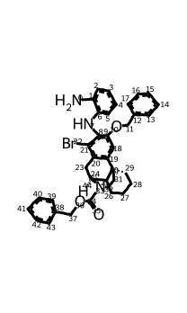 Nc1ccccc1Nc1c(OCc2ccccc2)cc2c(c1Br)C[C@H]1C3CCCC[C@@]23CCN1C(=O)OCc1ccccc1